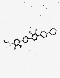 C=CCOc1ccc(-c2ccc(-c3ccc(C4=CCC(C5CCCCC5)CC4)c(F)c3F)cc2)c(F)c1F